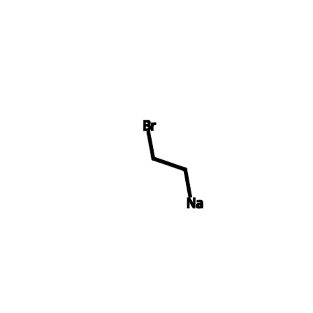 [Na][CH2]CBr